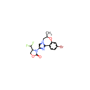 CC1Cn2cc(N3C(=O)OCC3C(F)F)nc2-c2ccc(Br)cc2O1